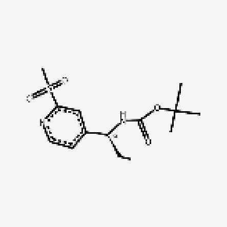 CC[C@H](NC(=O)OC(C)(C)C)c1ccnc(S(C)(=O)=O)c1